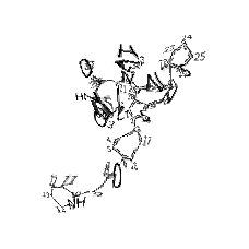 Cc1c(-c2ccc(OCCC3CCCCN3)cc2)sc2nc(-c3cccs3)nc(N(C)C3=CC(=O)NC3=O)c12